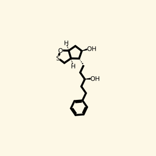 O[C@@H](CCc1ccccc1)CC[C@@H]1[C@H]2CSO[C@H]2C[C@H]1O